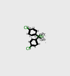 Br.CCC[C]([Sn])(c1ccc(Cl)cc1)c1ccc(Cl)cc1